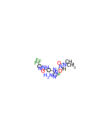 CC(C)N1CC(=O)N2C[C@H](c3nc(-c4ccc(C(=O)Nc5cc(C(F)(F)F)ccn5)cc4)c4c(N)ncc(F)n34)OC[C@H]2C1